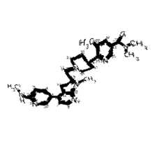 CNc1ccc(-c2ccnc3c2cc(CN2CC=C(c4ncc(C(=O)N(C)C)cc4C)CC2)n3C)cn1